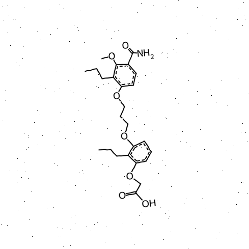 CCCc1c(OCCCOc2ccc(C(N)=O)c(OC)c2CCC)cccc1OCC(=O)O